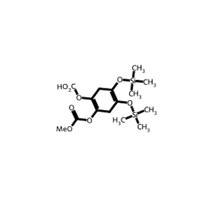 COC(=O)OC1=C(OC(=O)O)CC(O[Si](C)(C)C)=C(O[Si](C)(C)C)C1